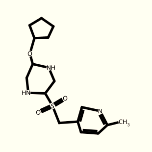 Cc1ccc(CS(=O)(=O)C2CNC(OC3CCCC3)CN2)cn1